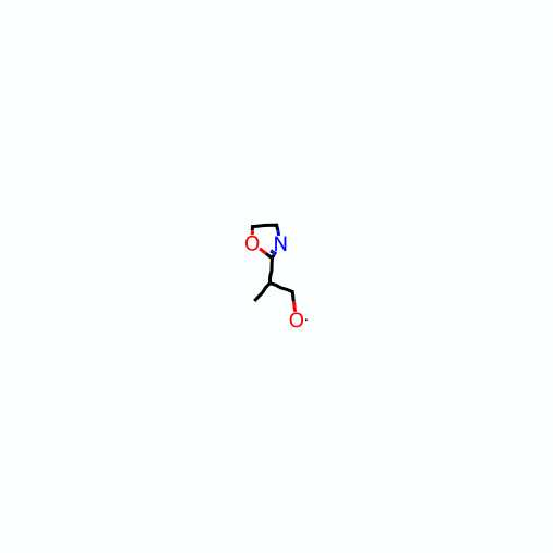 CC(C[O])C1=NCCO1